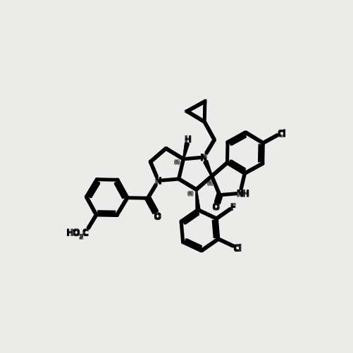 O=C(O)c1cccc(C(=O)N2CC[C@H]3C2[C@H](c2cccc(Cl)c2F)[C@]2(C(=O)Nc4cc(Cl)ccc42)N3CC2CC2)c1